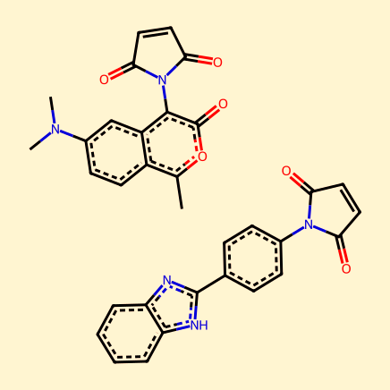 Cc1oc(=O)c(N2C(=O)C=CC2=O)c2cc(N(C)C)ccc12.O=C1C=CC(=O)N1c1ccc(-c2nc3ccccc3[nH]2)cc1